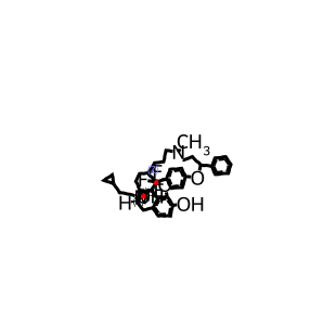 CN(CC/C=C1/CC[C@@]2(O)[C@H]3Cc4ccc(O)c5c4[C@@]2(CCN3CC2CC2)C1O5)CCC(Oc1ccc(C(F)(F)F)cc1)c1ccccc1